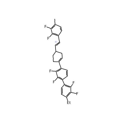 CCc1ccc(-c2ccc(C3=CCC(/C=C/c4ccc(C)c(F)c4F)CC3)c(F)c2F)c(F)c1F